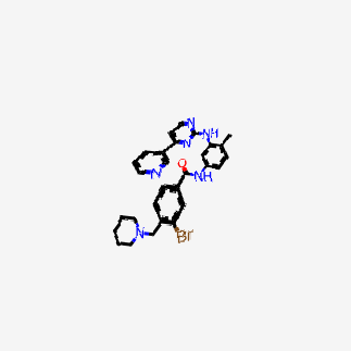 Cc1ccc(NC(=O)c2ccc(CN3CCCCC3)c(Br)c2)cc1Nc1nccc(-c2cccnc2)n1